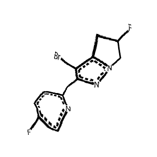 Fc1ccc(-c2nn3c(c2Br)CC(F)C3)nc1